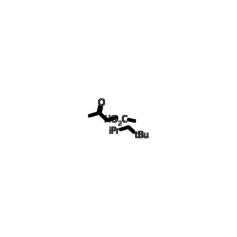 CC(=O)O.CC(C)CC(C)(C)C.CCC(C)=O